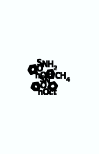 C.CCCCCCCCc1ccccc1OC(=S)N(C1CCCCC1)C1CCCCC1.CCCCCCCCc1ccccc1OC(N)=S